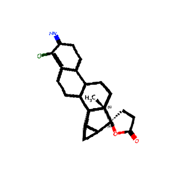 C[C@]12CCC3C4CCC(=N)C(Cl)=C4CCC3C1C1CC1[C@@]21CCC(=O)O1